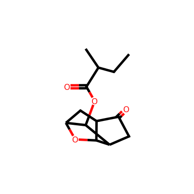 CCC(C)C(=O)OC1C2CC3C(=O)CC1C3O2